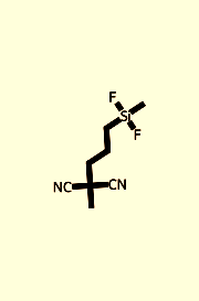 CC(C#N)(C#N)CCC[Si](C)(F)F